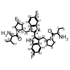 CCC(N)C(=O)N1CCC[C@H]1Cc1c(-c2nc3cc(F)ccc3n2C[C@@H]2C[C@H](F)CN2C(=O)C(N)C(C)C)[nH]c2cc(F)ccc12